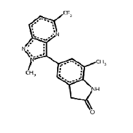 Cc1cc(-c2c3nc(C(F)(F)F)ccc3nn2C)cc2c1NC(=O)C2